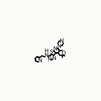 CN1CCN(c2nc3sc4c(NCCc5ccccn5)ncnc4c3c3c2COC(C)(C)C3)CC1